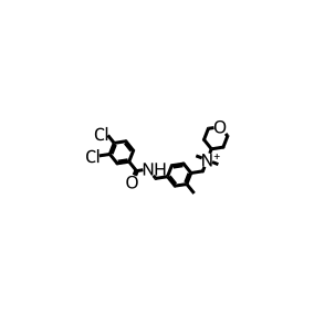 Cc1cc(CNC(=O)c2ccc(Cl)c(Cl)c2)ccc1C[N+](C)(C)C1CCOCC1